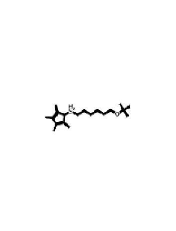 CC1=C(C)C([SiH2]CCCCCCOC(C)(C)C)C(C)=C1C